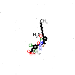 CCCCCCCCCC(OC)c1cccc(-c2csc(NC(=O)c3cc(Cl)c(C=C(C)C(=O)O)c(Cl)c3)n2)c1F